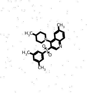 Cc1cc(C)cc(S(=O)(=O)c2cnc3ccc(C)cc3c2N2CCC(C)CC2)c1